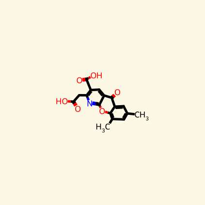 Cc1cc(C)c2oc3nc(CC(=O)O)c(C(=O)O)cc3c(=O)c2c1